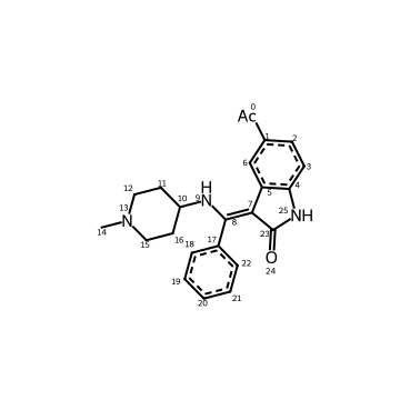 CC(=O)c1ccc2c(c1)C(=C(NC1CCN(C)CC1)c1ccccc1)C(=O)N2